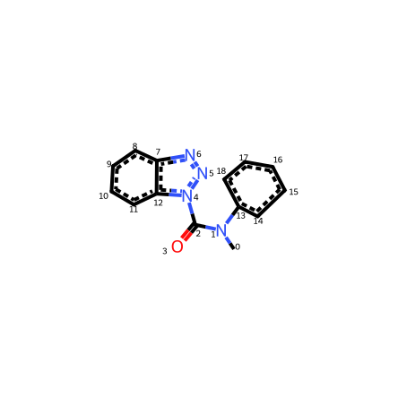 CN(C(=O)n1nnc2ccccc21)c1ccccc1